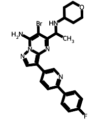 CC(NC1CCOCC1)c1nc2c(-c3ccc(-c4ccc(F)cc4)nc3)cnn2c(N)c1Br